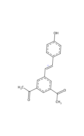 CC(=O)c1cc(/C=C/c2ccc(O)cc2)cc(C(C)=O)c1